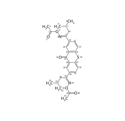 CC(=O)ON=C(CC(C)C)c1ccc2sc3ccc(C(CC(C)C)=NOC(C)=O)cc3c(=O)c2c1